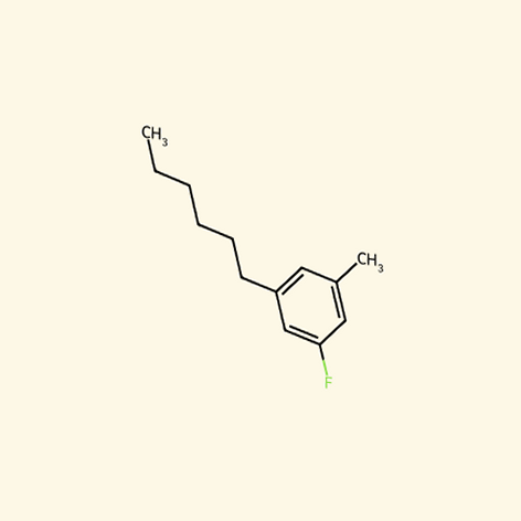 CCCCCCc1cc(C)cc(F)c1